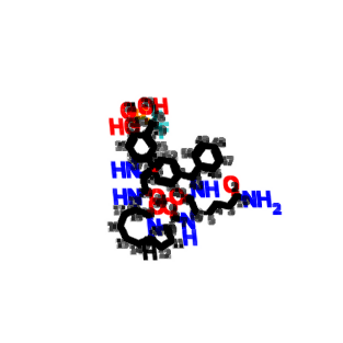 NC(=O)CCC[C@H](NC(=O)[C@@H]1CC[C@@H]2CCCC[C@H](NC(=O)c3cc4cc(C(F)(F)P(=O)(O)O)ccc4[nH]3)C(=O)N21)C(=O)NC(c1ccccc1)c1ccccc1